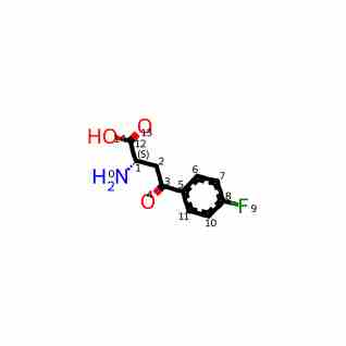 N[C@@H](CC(=O)c1ccc(F)cc1)C(=O)O